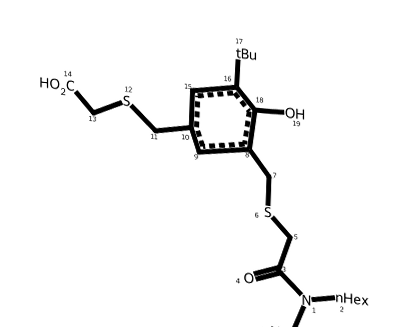 CCCCCCN(CCCCCC)C(=O)CSCc1cc(CSCC(=O)O)cc(C(C)(C)C)c1O